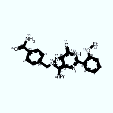 CCCc1c2nc(-c3ccccc3OCC)[nH]c(=O)c2nn1Cc1ccc(C(N)=O)cc1